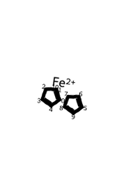 C1=CCC=C1.C1=CCC=C1.[Fe+2]